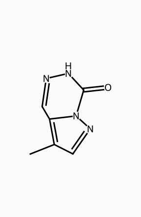 Cc1cnn2c(=O)[nH]ncc12